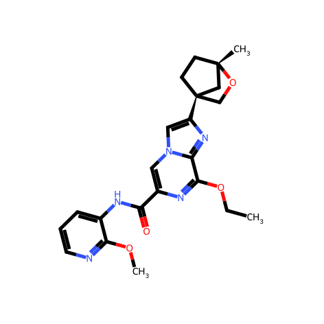 CCOc1nc(C(=O)Nc2cccnc2OC)cn2cc([C@@]34CC[C@@](C)(C3)OC4)nc12